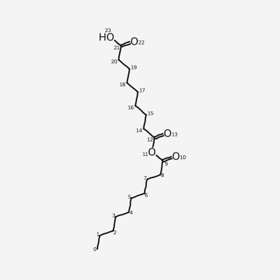 CCCCCCCCCC(=O)OC(=O)CCCCCCCC(=O)O